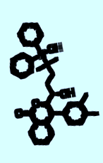 Cc1ccc(-c2c([C@H](O)CCC(C)(C)[Si](O)(c3ccccc3)c3ccccc3)oc(=O)c3ccccc23)cc1C